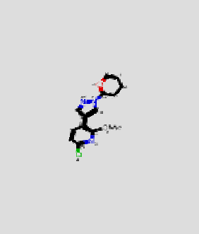 COc1nc(Cl)ccc1-c1cnn(C2CCCCO2)c1